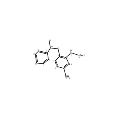 CCCCCNc1nc(N)ncc1CC(C)c1ccccc1